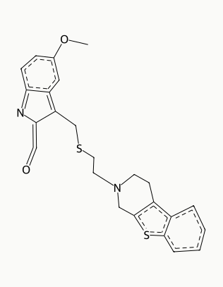 COc1ccc2c(c1)=C(CSCCN1CCc3c(sc4ccccc34)C1)C(=C=O)N=2